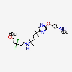 CC(C)(CCC(C)(C)c1cnc(O[C@H]2C[C@H](NC(C)(C)C)C2)cn1)NCCC(F)(F)CCOC(C)(C)C